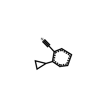 N#Cc1ccc[c]c1C1CC1